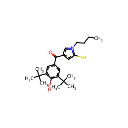 CCCCn1cc(C(=O)c2cc(C(C)(C)C)c(O)c(C(C)(C)C)c2)cc1S